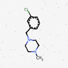 CN1CCN(Cc2cccc(Cl)c2)CC1